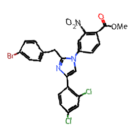 COC(=O)c1ccc(-n2cc(-c3ccc(Cl)cc3Cl)nc2Cc2ccc(Br)cc2)cc1[N+](=O)[O-]